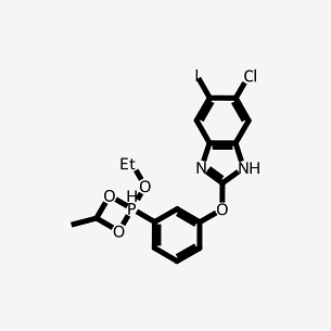 CCO[PH]1(c2cccc(Oc3nc4cc(I)c(Cl)cc4[nH]3)c2)OC(C)O1